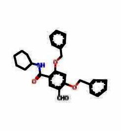 O=Cc1cc(C(=O)NC2CCCCC2)c(OCc2ccccc2)cc1OCc1ccccc1